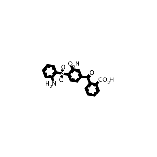 Nc1ccccc1S(=O)(=O)c1ccc(C(=O)c2ccccc2C(=O)O)cc1[N+](=O)[O-]